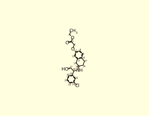 CCOC(=O)COc1ccc2c(c1)C[C@H](NC(CO)c1cccc(Cl)c1)CC2